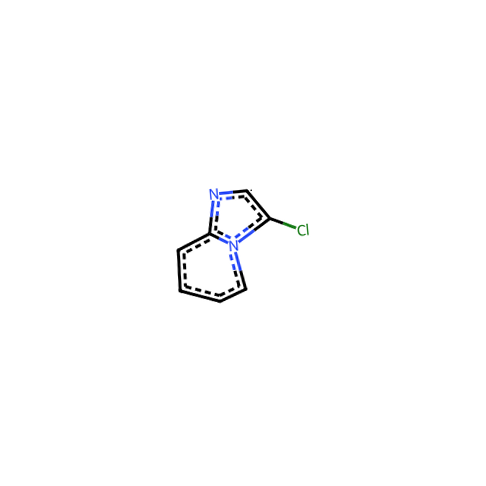 Clc1[c]nc2ccccn12